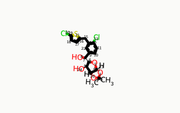 CC1(C)O[C@@H]2O[C@@H](C(O)c3ccc(Cl)c(Cc4ccc(Cl)s4)c3)[C@@H](O)[C@@H]2O1